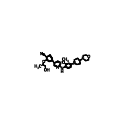 COc1cc(N2CCC(N3CCOCC3)CC2)ccc1Nc1ncc(-c2ccc(C#N)c(O[C@@H](C)CO)c2)cn1